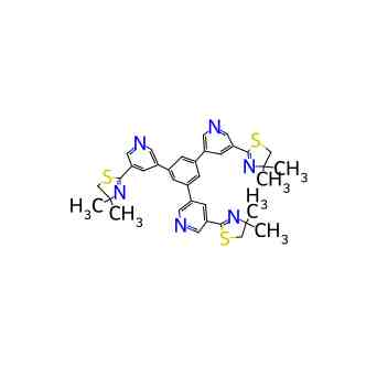 CC1(C)CSC(c2cncc(-c3cc(-c4cncc(C5=NC(C)(C)CS5)c4)cc(-c4cncc(C5=NC(C)(C)CS5)c4)c3)c2)=N1